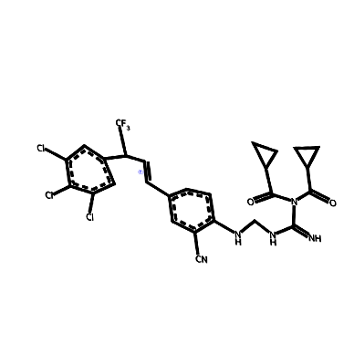 N#Cc1cc(/C=C/C(c2cc(Cl)c(Cl)c(Cl)c2)C(F)(F)F)ccc1NCNC(=N)N(C(=O)C1CC1)C(=O)C1CC1